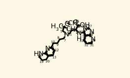 COC(C)(C)CN(CCCCc1ccc2c(n1)NCCC2)CCC(Nc1ncnc2ncccc12)C(=O)O